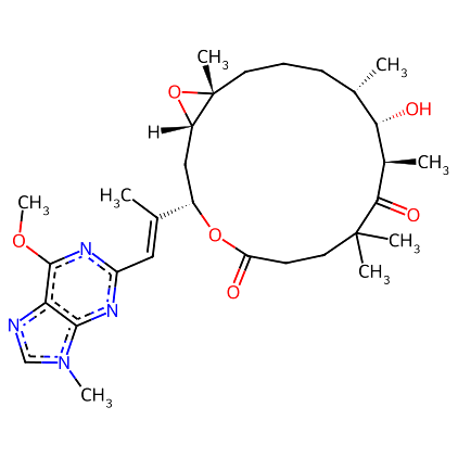 COc1nc(/C=C(\C)[C@@H]2C[C@@H]3O[C@]3(C)CCC[C@H](C)[C@H](O)[C@@H](C)C(=O)C(C)(C)CCC(=O)O2)nc2c1ncn2C